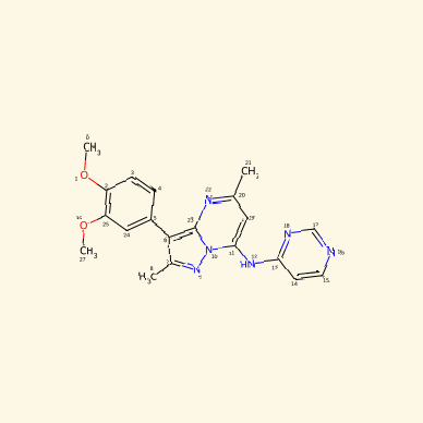 COc1ccc(-c2c(C)nn3c(Nc4ccncn4)cc(C)nc23)cc1OC